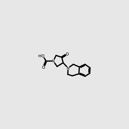 O=C1CN(C(=O)O)CC1N1CCc2ccccc2C1